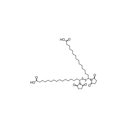 O=C(O)CCCCCCCCCCCCCCC(SSC(CCCCCCCCCCCCCCC(=O)O)N1C(=O)CCC1=O)N1C(=O)CCC1=O